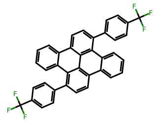 FC(F)(F)c1ccc(-c2ccc3c4ccccc4c4c(-c5ccc(C(F)(F)F)cc5)ccc5c6ccccc6c2c3c54)cc1